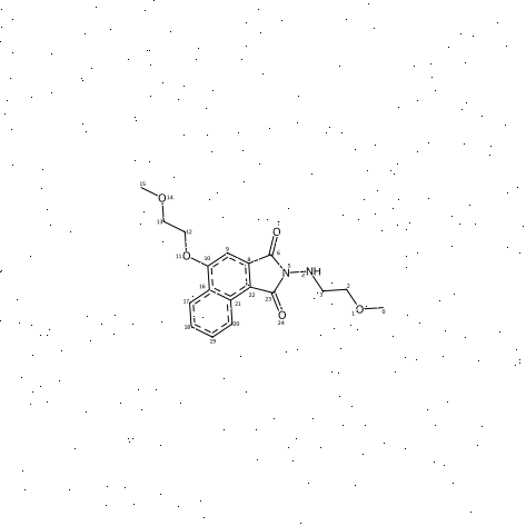 COCCNN1C(=O)c2cc(OCCOC)c3ccccc3c2C1=O